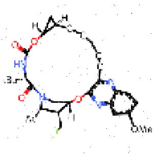 COc1ccc2nc3c(nc2c1)O[C@H]1CN(C(=O)[C@H](C(C)(C)C)NC(=O)O[C@@H]2C[C@H]2CCCCC3)[C@H](C(C)=O)[C@@H]1CF